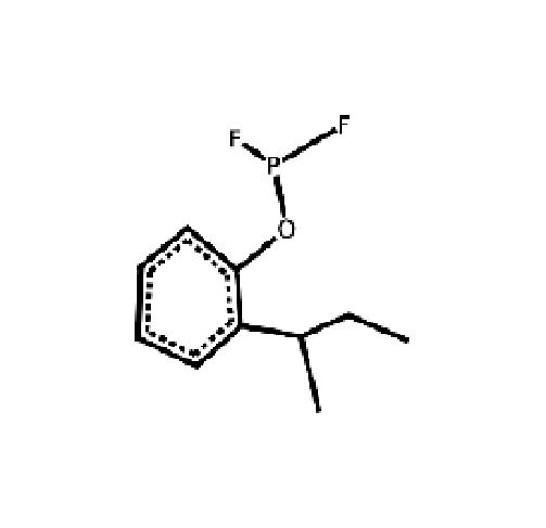 CCC(C)c1ccccc1OP(F)F